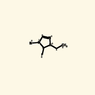 CCN1N=CN(Br)C1F